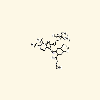 CC1=C/C(=N\c2c(OCC[N+](C)(C)C)nn3c(C)c(C)ccc23)C(NCCO)=CC1=O